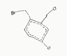 ClCc1cc(Cl)ccc1CBr